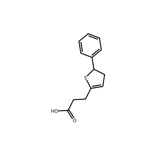 O=C(O)CCC1=CCC(c2ccccc2)S1